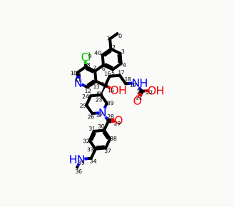 CCc1cccc(-c2c(Cl)cncc2C(O)(CCCNC(=O)O)[C@@H]2CCCN(C(=O)c3ccc(CNC)cc3)C2)c1